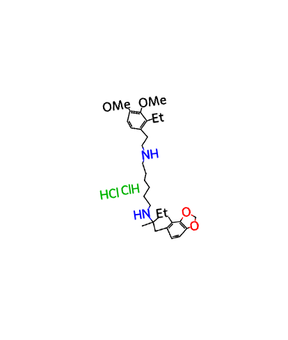 CCc1c(CCNCCCCCCNC(C)(C)Cc2ccc3c(c2CC)OCO3)ccc(OC)c1OC.Cl.Cl